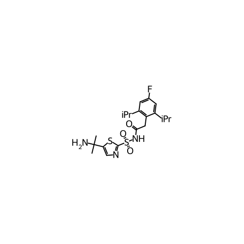 CC(C)c1cc(F)cc(C(C)C)c1CC(=O)NS(=O)(=O)c1ncc(C(C)(C)N)s1